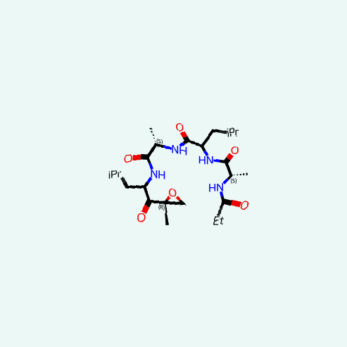 CCC(=O)N[C@@H](C)C(=O)NC(CC(C)C)C(=O)N[C@@H](C)C(=O)NC(CC(C)C)C(=O)[C@@]1(C)CO1